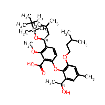 COc1c([C@H](CC(C)C)O[Si](C)(C)C(C)(C)C)ccc(Oc2c(OCCC(C)C)cc(C)cc2[C@H](C)O)c1C(=O)O